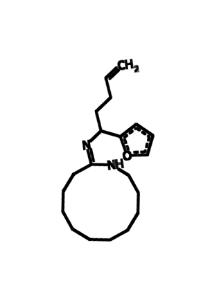 C=CCCC(N=C1CCCCCCCCCCN1)c1ccco1